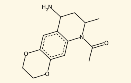 CC(=O)N1c2cc3c(cc2C(N)CC1C)OCCO3